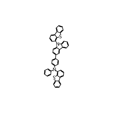 c1ccc(N(c2ccc(-c3ccc4c(c3)c3ccccc3n4-c3cccc4c3sc3ccccc34)cc2)c2cccc3c2sc2ccccc23)cc1